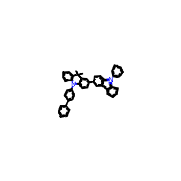 CC1(C)c2ccccc2N(c2ccc(-c3ccccc3)cc2)c2ccc(-c3ccc4c(c3)c3ccccc3n4-c3ccccc3)cc21